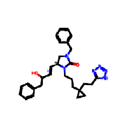 O=C1N(Cc2ccccc2)C[C@H](/C=C/C(O)Cc2ccccc2)N1CCCC1(CCc2nnn[nH]2)CC1